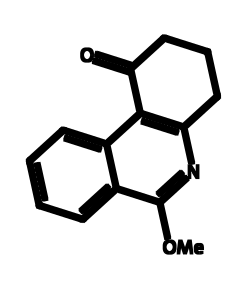 COc1nc2c(c3ccccc13)C(=O)CCC2